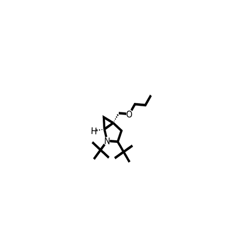 CCCOC[C@]12CC(C(C)(C)C)N(C(C)(C)C)[C@H]1C2